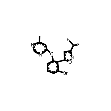 Cc1cc(Oc2cccc(Br)c2-c2cc(C(F)F)no2)ncn1